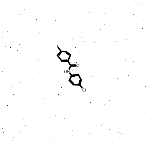 O=C(Nc1ccc(Cl)cc1)c1ccc(I)cc1